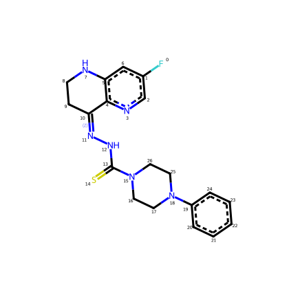 Fc1cnc2c(c1)NCC/C2=N/NC(=S)N1CCN(c2ccccc2)CC1